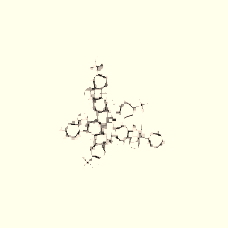 CC(C)(C)c1ccc(N2B3c4cc5nc(-c6ccccc6)oc5cc4-n4c5ccc(C(C)(C)C)cc5c5c6c(oc7ccccc76)c(c3c54)-c3cc4oc5cc(C(C)(C)C)ccc5c4cc32)cc1